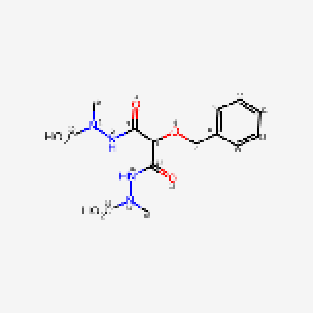 CN(NC(=O)C(OCc1ccccc1)C(=O)NN(C)C(=O)O)C(=O)O